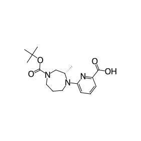 C[C@H]1CN(C(=O)OC(C)(C)C)CCCN1c1cccc(C(=O)O)n1